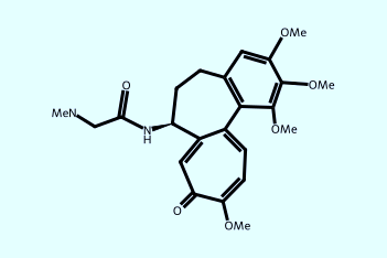 CNCC(=O)N[C@H]1CCc2cc(OC)c(OC)c(OC)c2-c2ccc(OC)c(=O)cc21